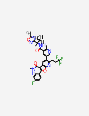 [2H]c1nc(C(C)(NC(=O)c2cc(-c3cc4c(C(=O)NC)c(-c5ccc(F)cc5)oc4nc3CCC(F)(F)F)cnc2C)C([2H])([2H])[2H])no1